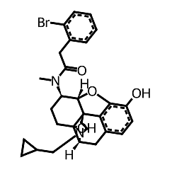 CN(C(=O)Cc1ccccc1Br)[C@@H]1CC[C@@]2(O)[C@H]3Cc4ccc(O)c5c4[C@@]2(CCN3CC2CC2)[C@H]1O5